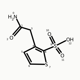 NC(=O)Cc1ccsc1S(=O)(=O)O